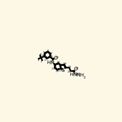 CC(C)(C)c1cccc(C(=O)Nc2ccc3sc(CCC(=O)NN)cc3c2)c1